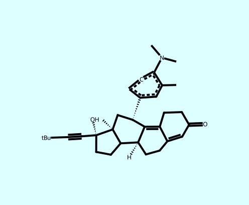 Cc1cc([C@H]2C[C@@]3(C)C(CC[C@@]3(O)C#CC(C)(C)C)[C@@H]3CCC4=CC(=O)CCC4=C32)ccc1N(C)C